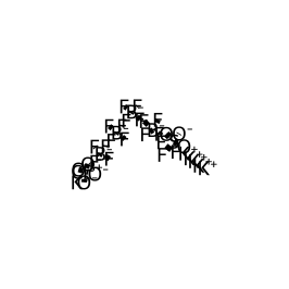 F[B-](F)(F)F.F[B-](F)(F)F.F[B-](F)(F)F.F[B-](F)(F)F.O=S(=O)([O-])C(F)(F)F.[K+].[K+].[K+].[K+].[K+].[K+].[O-][Cl+3]([O-])([O-])[O-]